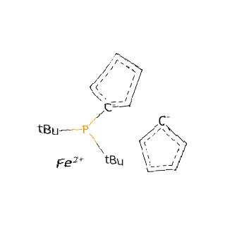 CC(C)(C)P([c-]1cccc1)C(C)(C)C.[Fe+2].c1cc[cH-]c1